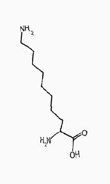 NCCCCCCCCC(N)C(=O)O